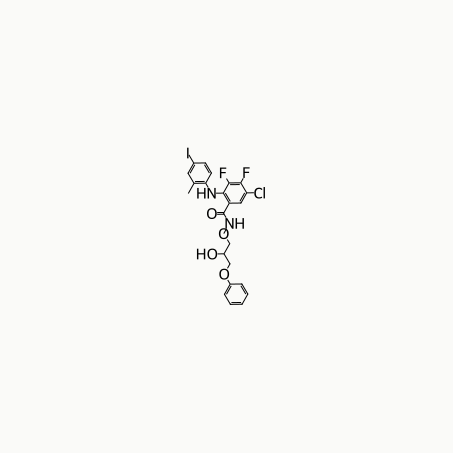 Cc1cc(I)ccc1Nc1c(C(=O)NOCC(O)COc2ccccc2)cc(Cl)c(F)c1F